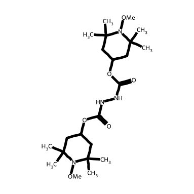 CON1C(C)(C)CC(OC(=O)NNC(=O)OC2CC(C)(C)N(OC)C(C)(C)C2)CC1(C)C